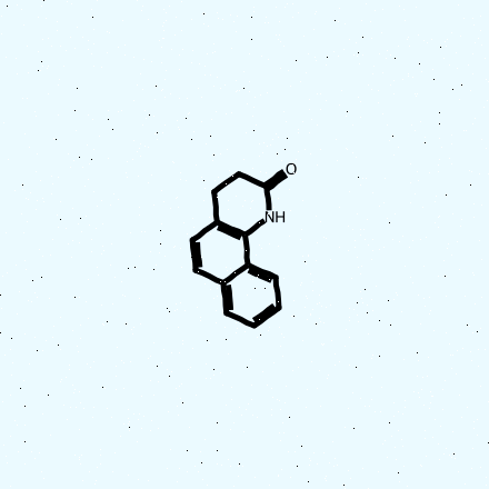 O=C1CCc2ccc3ccccc3c2N1